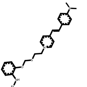 CCNc1ccccc1OCSCC[n+]1ccc(/C=C/c2ccc(N(C)C)cc2)cc1